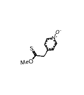 COC(=S)Cc1cc[n+]([O-])cc1